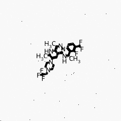 Cc1nnc(N[C@H](C)c2cccc(C(F)F)c2F)c2c1NC(C)C(N1CCN(CC(F)(F)F)CC1)=C2